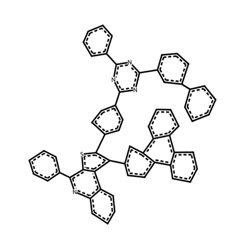 c1ccc(-c2cccc(-c3nc(-c4ccccc4)nc(-c4ccc(-c5sc6c(-c7ccccc7)nc7ccccc7c6c5-c5ccc6c7ccccc7c7ccccc7c6c5)cc4)n3)c2)cc1